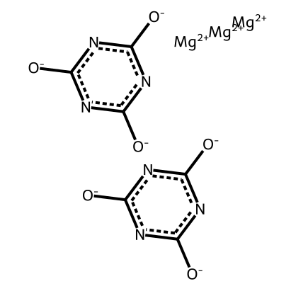 [Mg+2].[Mg+2].[Mg+2].[O-]c1nc([O-])nc([O-])n1.[O-]c1nc([O-])nc([O-])n1